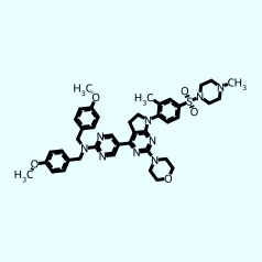 COc1ccc(CN(Cc2ccc(OC)cc2)c2ncc(-c3nc(N4CCOCC4)nc4c3CCN4c3ccc(S(=O)(=O)N4CCN(C)CC4)cc3C)cn2)cc1